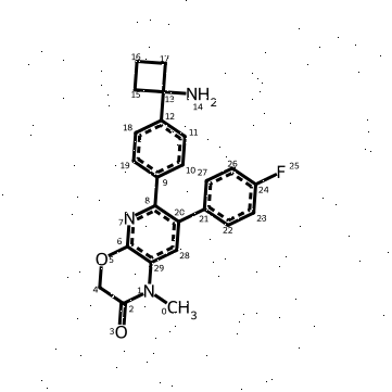 CN1C(=O)COc2nc(-c3ccc(C4(N)CCC4)cc3)c(-c3ccc(F)cc3)cc21